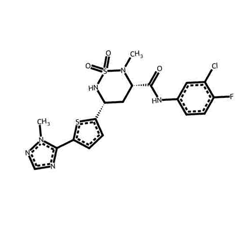 CN1[C@H](C(=O)Nc2ccc(F)c(Cl)c2)C[C@H](c2ccc(-c3ncnn3C)s2)NS1(=O)=O